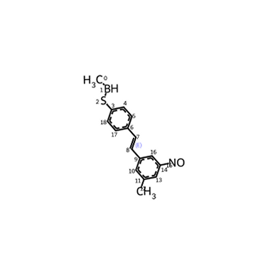 CBSc1ccc(/C=C/c2cc(C)cc(N=O)c2)cc1